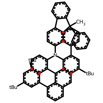 CC(C)(C)c1cc(-c2cccc3cccc(-c4ccccc4N(c4ccc5c(c4)C(C)(c4ccccc4)c4ccccc4-5)c4ccc(C(C)(C)C)cc4-c4ccccc4)c23)cc(C(C)(C)C)c1